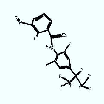 O=Nc1cccc(C(=O)Nc2c(I)cc(C(F)(C(F)(F)F)C(F)(F)F)cc2I)c1F